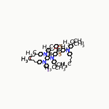 CCCCc1ccc(N(c2ccc(C(C)(C)C)cc2)c2cc3c4c(c2)Sc2cc5c(cc2B4c2cc(C)ccc2S3)B2c3c(CCCC)cccc3N(c3ccc(C(C)CCC)cc3)c3cc(N(c4ccc(I)cc4)c4ccc(CCCC)cc4)cc(c32)N5c2ccc(C(C)(C)C)cc2)cc1